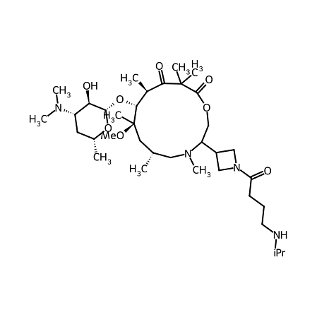 CO[C@]1(C)C[C@@H](C)CN(C)C(C2CN(C(=O)CCCNC(C)C)C2)COC(=O)C(C)(C)C(=O)[C@H](C)[C@H]1O[C@@H]1O[C@H](C)C[C@H](N(C)C)[C@H]1O